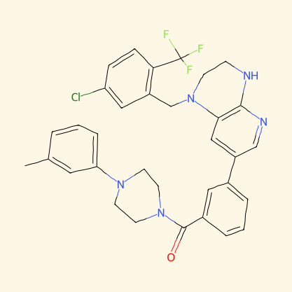 Cc1cccc(N2CCN(C(=O)c3cccc(-c4cnc5c(c4)N(Cc4cc(Cl)ccc4C(F)(F)F)CCN5)c3)CC2)c1